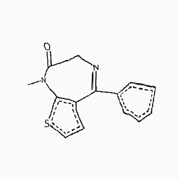 CN1C(=O)CN=C(c2ccccc2)c2ccsc21